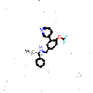 C[C@@H](NCc1ccc(OC(F)F)c(-c2cccnc2)c1)c1ccccc1